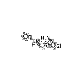 Nc1cc(N[C@H]2CC[C@@H](NC(=O)CCCOc3ccccc3)CC2)c2ccc(Cl)cc2n1